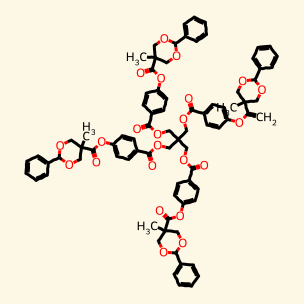 C=C(Oc1ccc(C(=O)OCC(COC(=O)c2ccc(OC(=O)C3(C)COC(c4ccccc4)OC3)cc2)(COC(=O)c2ccc(OC(=O)C3(C)COC(c4ccccc4)OC3)cc2)COC(=O)c2ccc(OC(=O)C3(C)COC(c4ccccc4)OC3)cc2)cc1)C1(C)COC(c2ccccc2)OC1